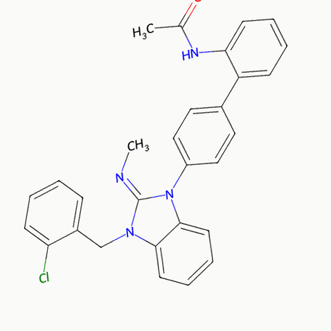 CN=c1n(Cc2ccccc2Cl)c2ccccc2n1-c1ccc(-c2ccccc2NC(C)=O)cc1